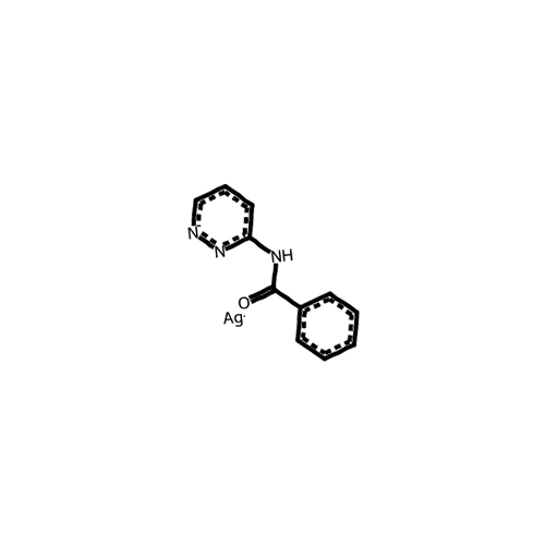 O=C(Nc1cccnn1)c1ccccc1.[Ag]